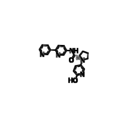 O=C(Nc1ccc(-c2cccnc2)nc1)[C@@H]1CCCN1c1ccc(O)nc1